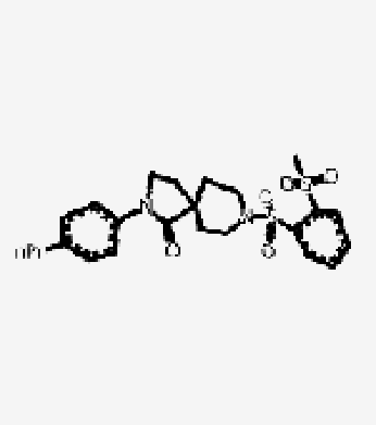 CCCc1ccc(N2CCC3(CCN(S(=O)(=O)c4ccccc4S(C)(=O)=O)CC3)C2=O)cc1